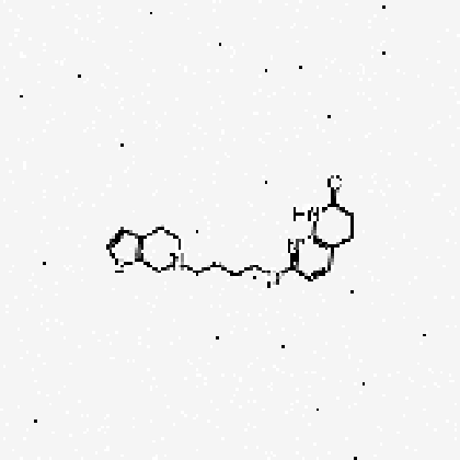 O=C1CCc2ccc(OCCCCN3CCc4ccsc4C3)nc2N1